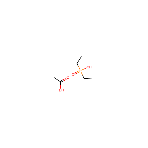 CC(=O)O.CCP(=O)(O)CC